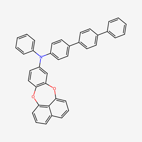 c1ccc(-c2ccc(-c3ccc(N(c4ccccc4)c4ccc5c(c4)Oc4cccc6cccc(c46)O5)cc3)cc2)cc1